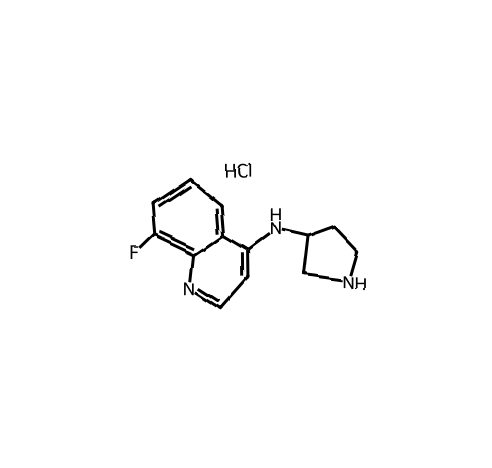 Cl.Fc1cccc2c(NC3CCNC3)ccnc12